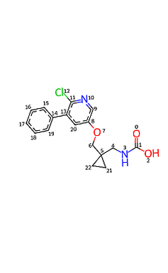 O=C(O)NCC1(COc2cnc(Cl)c(-c3ccccc3)c2)CC1